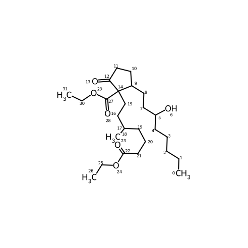 CCCCCC(O)CCC1CCC(=O)C1(CCC(C)CCCC(=O)OCC)C(=O)OCC